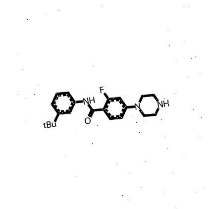 CC(C)(C)c1cccc(NC(=O)c2ccc(N3CCNCC3)cc2F)c1